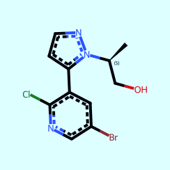 C[C@@H](CO)n1nccc1-c1cc(Br)cnc1Cl